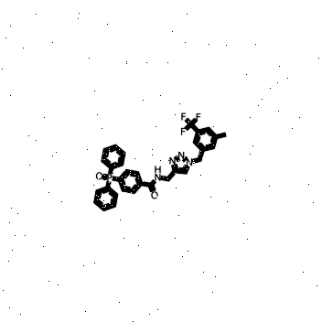 Cc1cc(Cn2cc(CNC(=O)c3ccc(P(=O)(c4ccccc4)c4ccccc4)cc3)nn2)cc(C(F)(F)F)c1